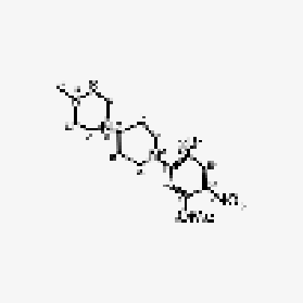 COc1cc(N2CCC(N3CCN(C)CC3)CC2)c(Br)cc1[N+](=O)[O-]